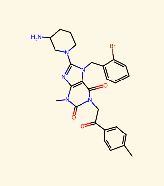 Cc1ccc(C(=O)Cn2c(=O)c3c(nc(N4CCCC(N)C4)n3Cc3ccccc3Br)n(C)c2=O)cc1